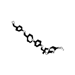 CC1(COc2ccc(N3CCC(COc4ccc(CCl)cc4)CC3)cc2)Cn2cc([N+](=O)[O-])nc2O1